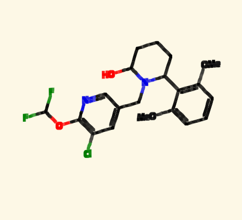 COc1cccc(OC)c1C1CCCC(O)N1Cc1cnc(OC(F)F)c(Cl)c1